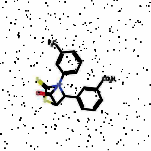 O=C(O)c1cccc(C2C3SC(=S)[N+]2(c2cccc(C(F)(F)F)c2)C3=O)c1